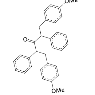 COc1ccc(CC(C(=O)C(Cc2ccc(OC)cc2)c2ccccc2)c2ccccc2)cc1